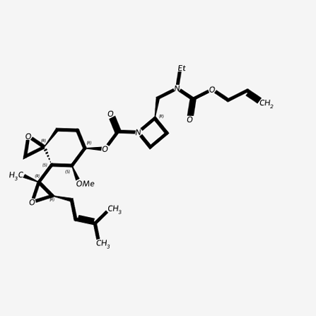 C=CCOC(=O)N(CC)C[C@H]1CCN1C(=O)O[C@@H]1CC[C@]2(CO2)[C@@H]([C@@]2(C)O[C@@H]2CC=C(C)C)[C@@H]1OC